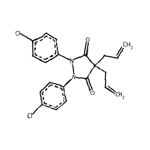 C=CCC1(CC=C)C(=O)N(c2ccc(Cl)cc2)N(c2ccc(Cl)cc2)C1=O